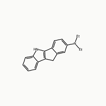 CCN(CC)c1ccc2c(c1)Cc1c-2[nH]c2ccccc12